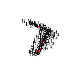 CCc1ccc(N)c(O)c1.CNc1ccc(O)cc1.COC(=O)c1cccc(C(=O)O)c1.Cc1cc(O)ccc1N.Cc1ccc(N)c(O)c1.Cc1cccc(N)c1O.Nc1ccc(N)cc1.Nc1ccc(O)cc1.Nc1cccc(N)c1.Nc1ccccc1N.Nc1ccccc1O